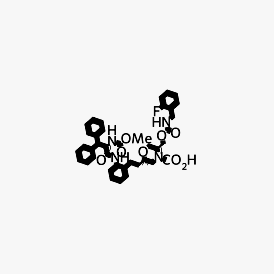 COC(=O)N[C@H](C(=O)Nc1ccccc1CC[C@@H]1CN(C(=O)O)[C@H](COC(=O)NCc2ccccc2F)CO1)C(c1ccccc1)c1ccccc1